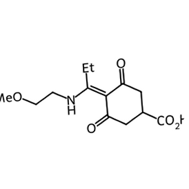 CCC(NCCOC)=C1C(=O)CC(C(=O)O)CC1=O